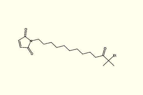 CCC(C)(C)C(=O)CCCCCCCCCCN1C(=O)C=CC1=O